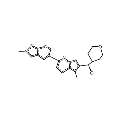 Cc1c([C@H](O)C2CCOCC2)sc2nc(-c3cnc4nn(C)cc4c3)ccc12